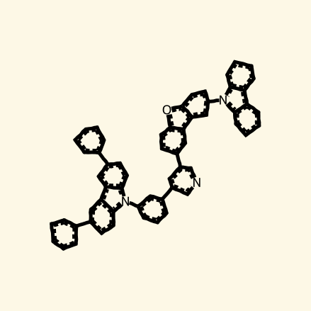 c1ccc(-c2ccc3c(c2)c2cc(-c4ccccc4)ccc2n3-c2cccc(-c3cncc(-c4ccc5oc6ccc(-n7c8ccccc8c8ccccc87)cc6c5c4)c3)c2)cc1